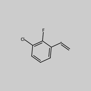 C=[C]c1cccc(Cl)c1F